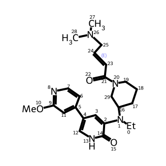 CCN(c1cc(-c2ccnc(OC)c2)c[nH]c1=O)C1CCCN(C(=O)/C=C/CN(C)C)C1